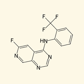 Fc1cc2c(Nc3ccccc3C(F)(F)F)ncnc2cn1